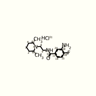 C[C@@H]1CCC[C@H](C)N1CCNC(=O)c1ccc(F)c(N)c1.Cl